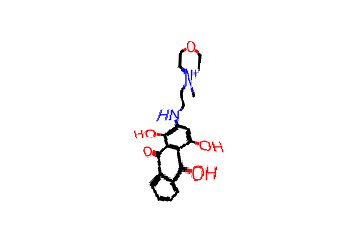 C[N+]1(CCNc2cc(O)c3c(c2O)C(=O)c2ccccc2C3O)CCOCC1